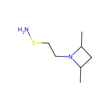 CC1CC(C)N1CCSN